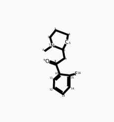 CN1CCCCC1CC(=O)c1ccccc1F